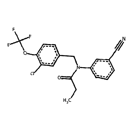 CCC(=O)N(Cc1ccc(OC(F)(F)F)c(Cl)c1)c1cccc(C#N)c1